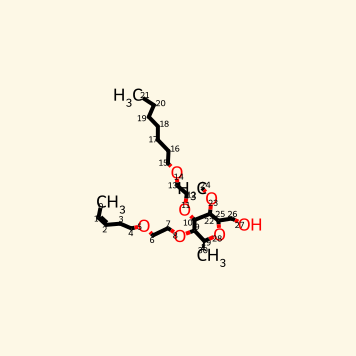 C/C=C\CCOCCOC1C(OCCOCCCCCCC)C(OC)C(CO)O[C@H]1C